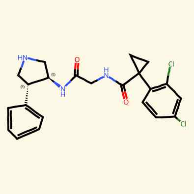 O=C(CNC(=O)C1(c2ccc(Cl)cc2Cl)CC1)N[C@@H]1CNC[C@H]1c1ccccc1